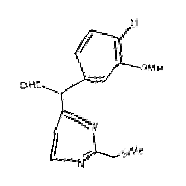 COc1cc(C(C=O)c2ccnc(SC)n2)ccc1Cl